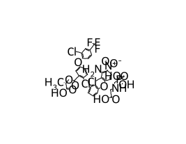 C[C@H](OC(=O)c1cc(Oc2ccc(C(F)(F)F)cc2Cl)ccc1Cl)C(=O)O.Nc1c([N+](=O)[O-])ccc(Oc2ccccc2)c1Cl.O=C(O)CNCP(=O)(O)O